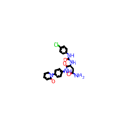 NC(=O)CC(NC(=O)Nc1ccc(Cl)cc1)C(=O)Nc1ccc(-n2ccccc2=O)cc1